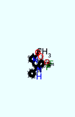 COC(=O)c1cccc(Cc2c(-c3ccccc3)[nH]c3cc(OC(F)F)ccc23)n1